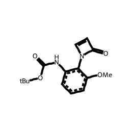 COc1cccc(NC(=O)OC(C)(C)C)c1N1C=CC1=O